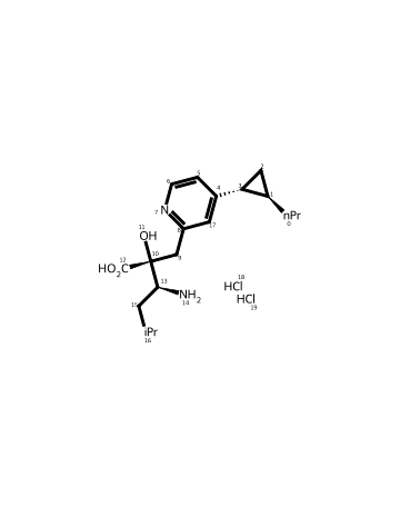 CCC[C@@H]1C[C@H]1c1ccnc(C[C@](O)(C(=O)O)[C@@H](N)CC(C)C)c1.Cl.Cl